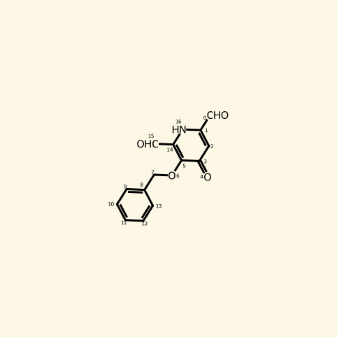 O=Cc1cc(=O)c(OCc2ccccc2)c(C=O)[nH]1